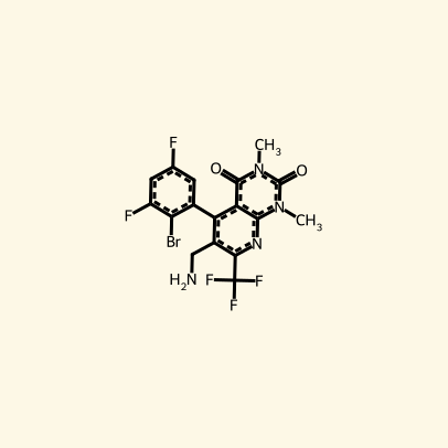 Cn1c(=O)c2c(-c3cc(F)cc(F)c3Br)c(CN)c(C(F)(F)F)nc2n(C)c1=O